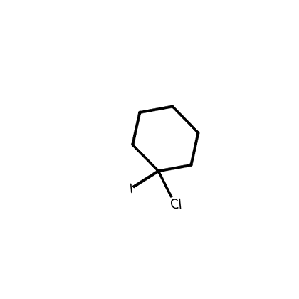 ClC1(I)CCCCC1